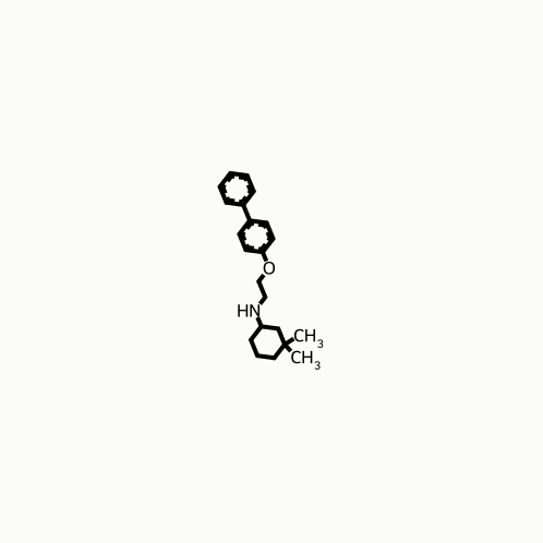 CC1(C)CCCC(NCCOc2ccc(-c3ccccc3)cc2)C1